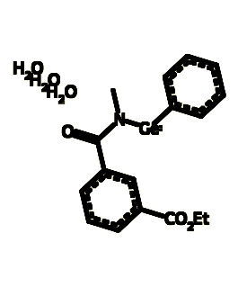 CCOC(=O)c1cccc(C(=O)[N](C)[Ge][c]2ccccc2)c1.O.O.O